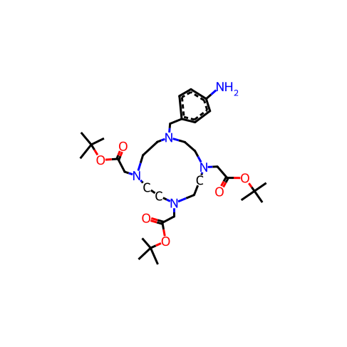 CC(C)(C)OC(=O)CN1CCN(CC(=O)OC(C)(C)C)CCN(Cc2ccc(N)cc2)CCN(CC(=O)OC(C)(C)C)CC1